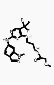 COCC(=O)NCCCNc1nc(Nc2ccc3cnn(C)c3c2)ncc1C(F)(F)F